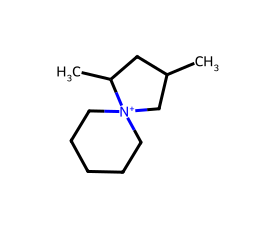 CC1CC(C)[N+]2(CCCCC2)C1